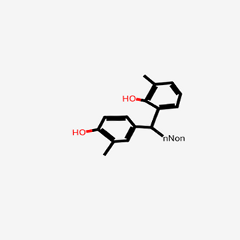 CCCCCCCCCC(c1ccc(O)c(C)c1)c1cccc(C)c1O